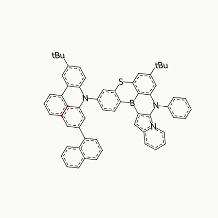 CC(C)(C)c1ccc(N(c2cccc(-c3cccc4ccccc34)c2)c2ccc3c(c2)Sc2cc(C(C)(C)C)cc4c2B3c2cc3ccccn3c2N4c2ccccc2)c(-c2ccccc2)c1